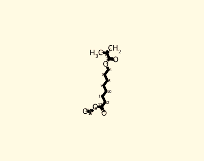 C=C(C)C(=O)OCCCCCCCC(=O)OP=O